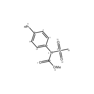 CCCc1ccc(N(C(=O)OC)S(C)(=O)=O)cc1